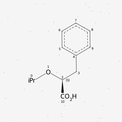 CC(C)O[C@@H](Cc1ccccc1)C(=O)O